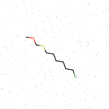 COCSCCCCCCCl